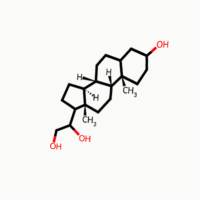 C[C@]12CCC(O)CC1CC[C@@H]1[C@H]2CC[C@]2(C)C(C(O)CO)CC[C@@H]12